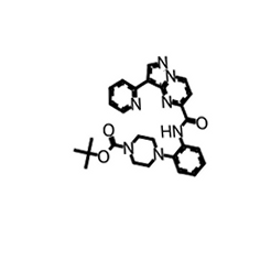 CC(C)(C)OC(=O)N1CCN(c2ccccc2NC(=O)c2ccn3ncc(-c4ccccn4)c3n2)CC1